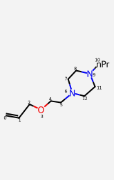 C=CCOCCN1CCN(CCC)CC1